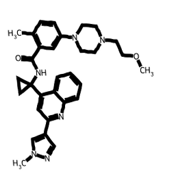 COCCN1CCN(c2ccc(C)c(C(=O)NC3(c4cc(-c5cnn(C)c5)nc5ccccc45)CC3)c2)CC1